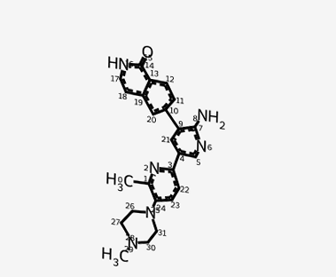 Cc1nc(-c2cnc(N)c(-c3ccc4c(=O)[nH]ccc4c3)c2)ccc1N1CCN(C)CC1